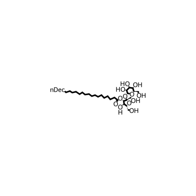 CCCCCCCCCCCCCCCCCCCCCCCCCCC(=O)O[C@H]1[C@H](O)[C@@H](CO)O[C@@]1(CO)O[C@H]1O[C@H](CO)[C@@H](O)[C@H](O)[C@H]1O